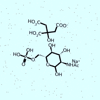 CC(=O)N[C@H]1C(O)O[C@H](COP(=O)(O)O)[C@@H](O)[C@@H]1O.O=C([O-])CC(O)(CC(=O)O)C(=O)O.[Na+]